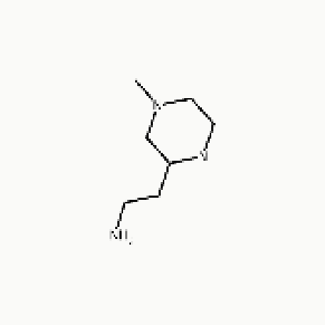 CN1CC[N]C(CCN)C1